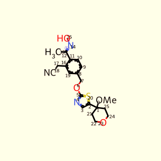 COC1(c2cnc(OCc3ccc(/C(C)=N/O)c(CC#N)c3)s2)CCOCC1